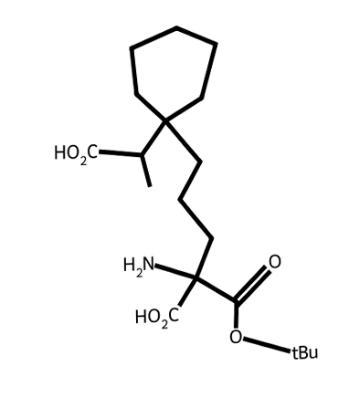 CC(C(=O)O)C1(CCCC(N)(C(=O)O)C(=O)OC(C)(C)C)CCCCC1